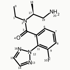 CCN(C(=O)c1cccc(F)c1-n1nccn1)[C@@H](C)CN